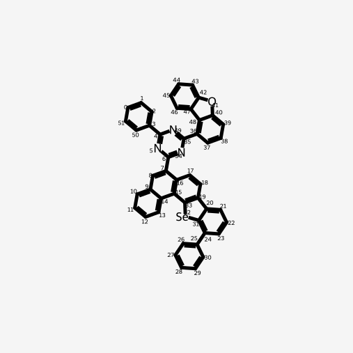 c1ccc(-c2nc(-c3cc4ccccc4c4c3ccc3c5cccc(-c6ccccc6)c5[se]c34)nc(-c3cccc4oc5ccccc5c34)n2)cc1